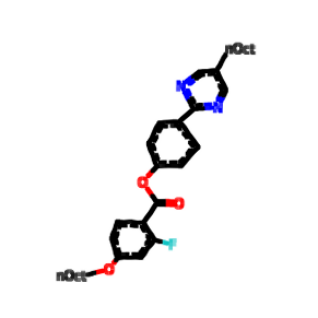 CCCCCCCCOc1ccc(C(=O)Oc2ccc(-c3ncc(CCCCCCCC)cn3)cc2)c(F)c1